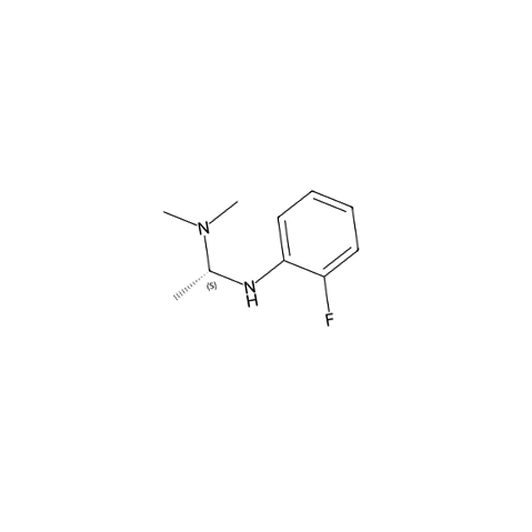 C[C@@H](Nc1ccccc1F)N(C)C